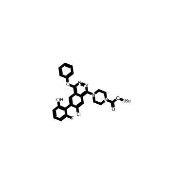 CC(C)(C)OC(=O)N1CCN(c2nnc(Oc3ccccc3)c3cc(-c4c(O)cccc4F)c(Cl)cc23)CC1